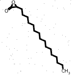 CCCCCCCCCCCCCCCCC1OC1=O